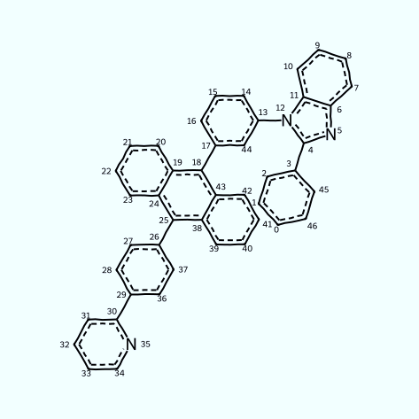 c1ccc(-c2nc3ccccc3n2-c2cccc(-c3c4ccccc4c(-c4ccc(-c5ccccn5)cc4)c4ccccc34)c2)cc1